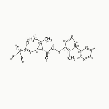 Cc1c(COC(=O)[C@@H]2C(C=C(Cl)C(F)(F)F)C2(C)C)cccc1-c1ccccc1